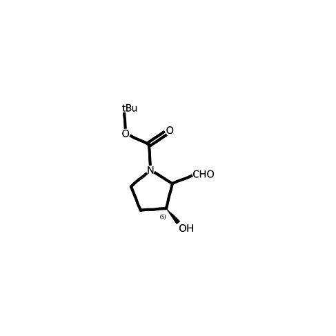 CC(C)(C)OC(=O)N1CC[C@H](O)C1C=O